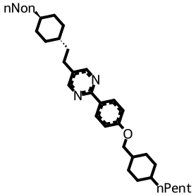 CCCCCCCCC[C@H]1CC[C@H](CCc2cnc(-c3ccc(OCC4CCC(CCCCC)CC4)cc3)nc2)CC1